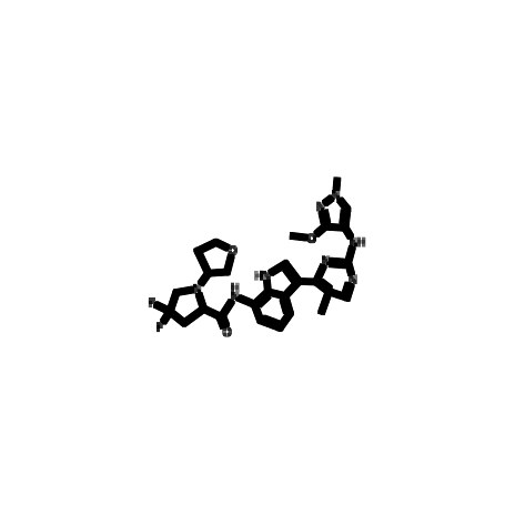 COc1nn(C)cc1Nc1ncc(C)c(-c2c[nH]c3c(NC(=O)C4CC(F)(F)CN4C4CCOC4)cccc23)n1